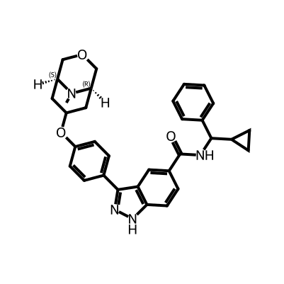 CN1[C@@H]2COC[C@H]1CC(Oc1ccc(-c3n[nH]c4ccc(C(=O)NC(c5ccccc5)C5CC5)cc34)cc1)C2